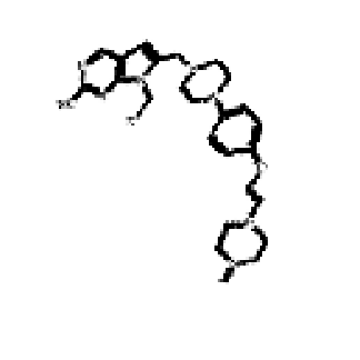 CC(C)Cn1c(CN2CCN(c3ccc(OCCN4CCN(C)CC4)cc3)CC2)cc2cnc(C#N)nc21